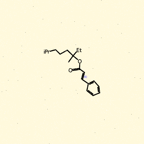 CCC(C)(CCCC(C)C)OC(=O)/C=C/c1ccccc1